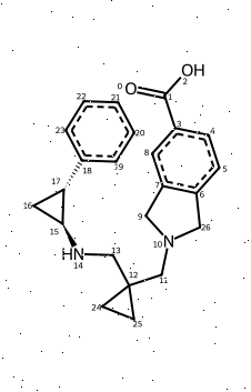 O=C(O)c1ccc2c(c1)CN(CC1(CN[C@H]3C[C@@H]3c3ccccc3)CC1)C2